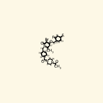 CC(=O)N1CCN(C(=O)c2ccc(Cn3c(C)cc(OCc4ccc(F)cc4F)c(Br)c3=O)cc2)CC1